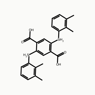 Cc1cccc([SiH2]c2cc(C(=O)O)c([SiH2]c3cccc(C)c3C)cc2C(=O)O)c1C